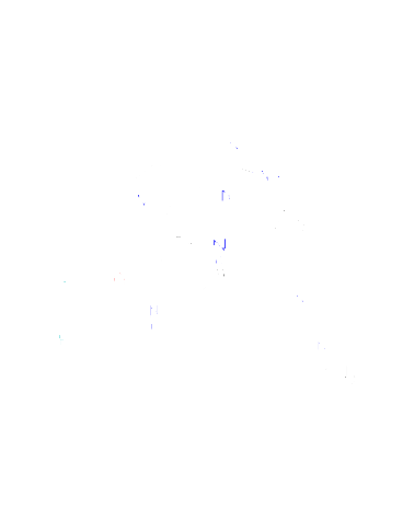 CN1CCN(c2ccc(Nc3ncc4ccnc(-c5cc(NC(=O)C=C(F)F)ccn5)c4n3)cc2)CC1